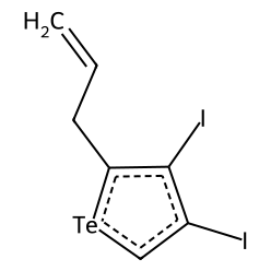 C=CCc1[te]cc(I)c1I